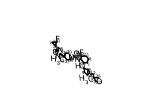 CC1(CN2CC[C@H](O[C@H]3CCCC(F)(F)[C@@H]3NC(=O)N3CCC(C)(c4noc([C@@H]5C[C@@H]5F)n4)CC3)C2)COC1